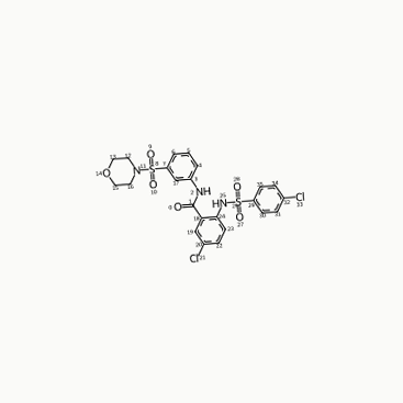 O=C(Nc1cccc(S(=O)(=O)N2CCOCC2)c1)c1cc(Cl)ccc1NS(=O)(=O)c1ccc(Cl)cc1